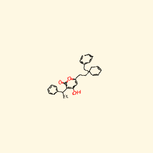 CCC(c1ccccc1)c1c(O)cc(CCC2(Cc3ccccc3)C=CC=CC2)oc1=O